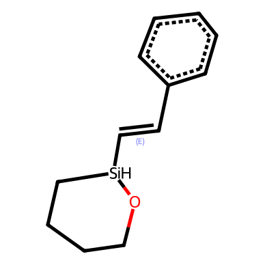 C(=C\[SiH]1CCCCO1)/c1ccccc1